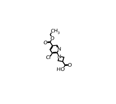 CCOC(=O)c1cnc(N2CC(C(=O)O)C2)c(Cl)c1